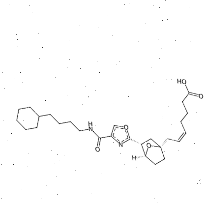 O=C(O)CCC/C=C\C[C@]12CC[C@H](O1)[C@H](c1nc(C(=O)NCCCCC3CCCCC3)co1)C2